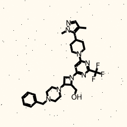 Cc1cnn(C)c1C1CCN(c2cc(N3CC(N4CCN(Cc5ccccc5)CC4)C3CO)nc(C(F)(F)F)n2)CC1